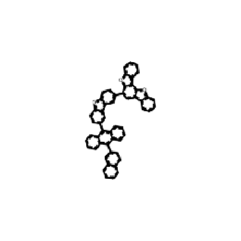 c1ccc2cc(-c3c4ccccc4c(-c4ccc5oc6ccc(-c7cc8c9ccccc9oc8c8c7oc7ccccc78)cc6c5c4)c4ccccc34)ccc2c1